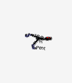 CCCCC/C=C\C/C=C\CCCCCCCCOC(=O)C(CNC(=O)CCCN1CCN(CN(C)C)CC1)NC(=O)CCCCCCC/C=C\C/C=C\CCCCC